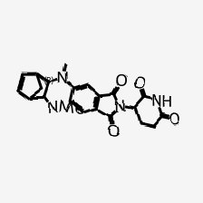 CNC1C2C=CC(C2)[C@H]1N(C)c1ccc2c(c1)C(=O)N(C1CCC(=O)NC1=O)C2=O